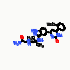 CC(C)COc1ccccc1-c1cc(-c2ccc3[nH]nc(NC(C)(C)CNCC(N)=O)c3c2)nc(=O)[nH]1